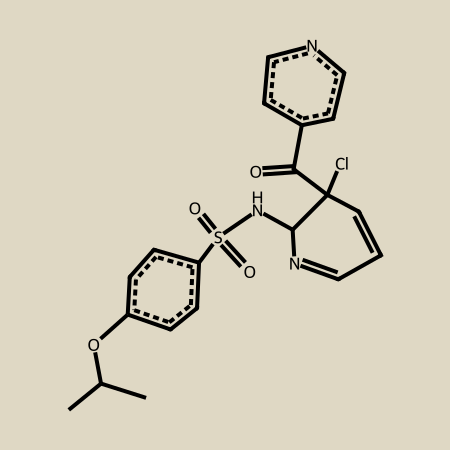 CC(C)Oc1ccc(S(=O)(=O)NC2N=CC=CC2(Cl)C(=O)c2ccncc2)cc1